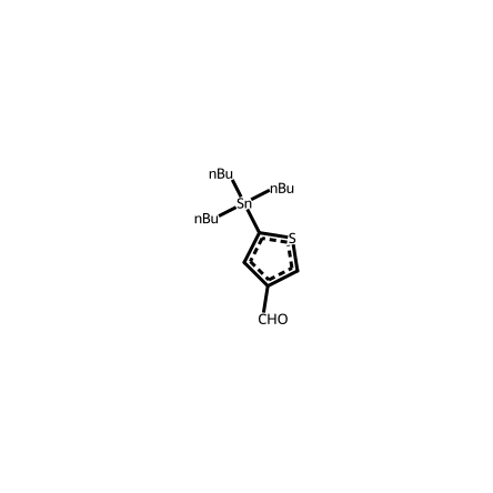 CCC[CH2][Sn]([CH2]CCC)([CH2]CCC)[c]1cc(C=O)cs1